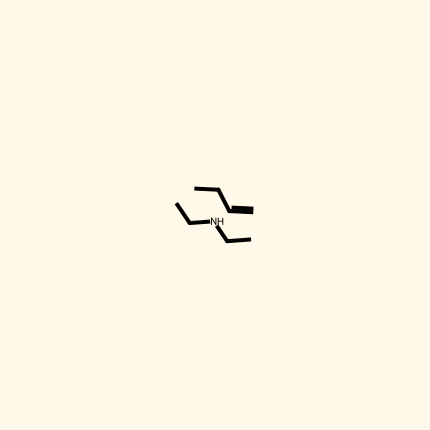 C=CCC.CCNCC